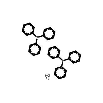 Cl.[Pt].c1ccc(P(c2ccccc2)c2ccccc2)cc1.c1ccc(P(c2ccccc2)c2ccccc2)cc1